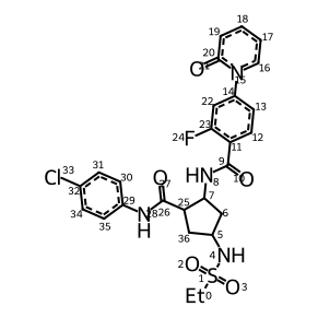 CCS(=O)(=O)NC1CC(NC(=O)c2ccc(-n3ccccc3=O)cc2F)C(C(=O)Nc2ccc(Cl)cc2)C1